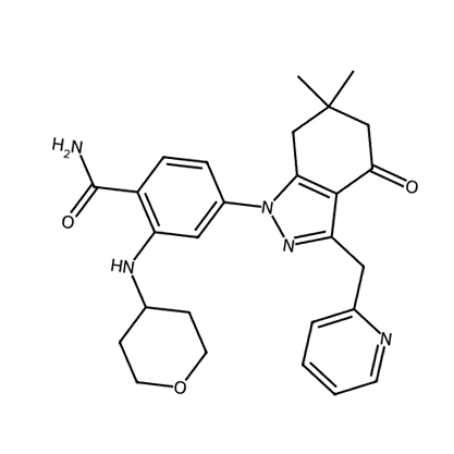 CC1(C)CC(=O)c2c(Cc3ccccn3)nn(-c3ccc(C(N)=O)c(NC4CCOCC4)c3)c2C1